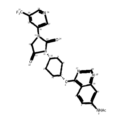 CC(=O)Nc1ccc2c(O[C@H]3CC[C@@H](N4C(=O)CN(c5cncc(C(F)(F)F)c5)C4=O)CC3)ncnc2c1